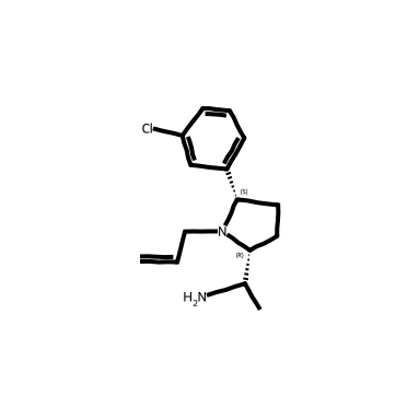 C=CCN1[C@@H](C(C)N)CC[C@H]1c1cccc(Cl)c1